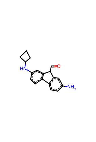 Nc1ccc2c(c1)C(C=O)c1cc(NC3CCC3)ccc1-2